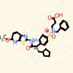 COc1ccc2nc(NC(=O)[C@H](CC3CCCC3)c3ccc(S(=O)(=O)N(CCC(=O)O)Cc4ccccc4)cc3)sc2n1